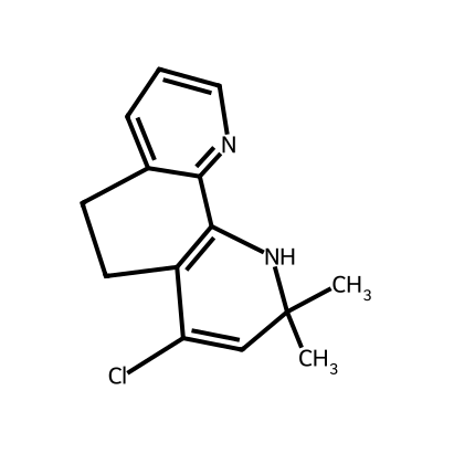 CC1(C)C=C(Cl)C2=C(N1)c1ncccc1CC2